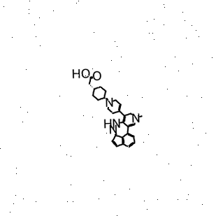 CN1C=C2C(=C(C3=CCN([C@H]4CC[C@@H](CC(=O)O)CC4)CC3)C1)NN=C1C=Cc3cccc2c31